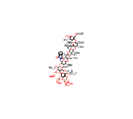 COCC1O[C@@H](O[C@H]2C(OC)C(OC)[C@@H](O[C@H]3C(OC)C(OC)[C@H](O[C@@H]4C(COS(=O)(=O)O)O[C@@H](O)C(OC)[C@H]4OC)O[C@H]3COC)O[C@H]2COC)C(OC)[C@@H](OC)[C@@H]1O[C@H]1OC(CN2C(=O)c3ccccc3C2=O)[C@@H](O[C@@H]2O[C@@H](COS(=O)(=O)O)[C@@H](O[C@H]3O[C@@H](COS(=O)(=O)O)[C@@H](OSOOO)C(OSOOO)C3OSOOO)C(OSOOO)C2OS(=O)(=O)O)[C@H](OC)C1OC